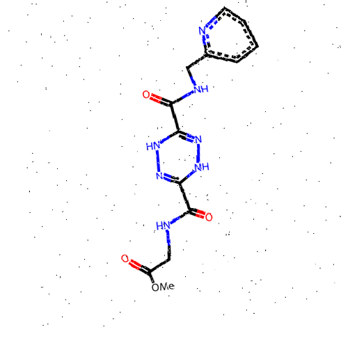 COC(=O)CNC(=O)C1=NNC(C(=O)NCc2ccccn2)=NN1